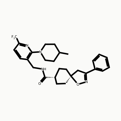 CC1CCN(c2nc(C(F)(F)F)ccc2CNC(=O)[C@H]2CC[C@]3(CC2)CC(c2ccccc2)=NO3)CC1